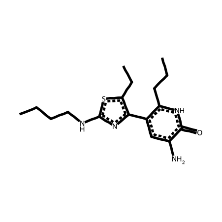 CCCCNc1nc(-c2cc(N)c(=O)[nH]c2CCC)c(CC)s1